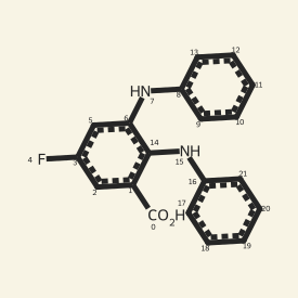 O=C(O)c1cc(F)cc(Nc2ccccc2)c1Nc1ccccc1